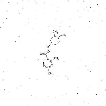 Cc1ccc(C(=O)OO[C]2CCC(C)C(C)C2)c(C)c1